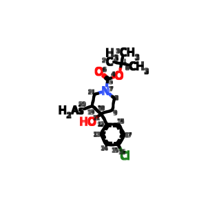 CC(C)(C)OC(=O)N1CCC(O)(c2ccc(Cl)cc2)C([AsH2])C1